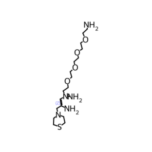 NCCOCCOCCOCCOCCN(N)/C=C(\N)CN1CCSCC1